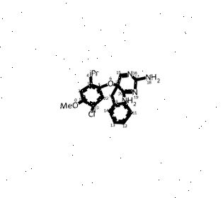 COc1cc(C(C)C)c(OC2(Cc3ccccc3)C=NC(N)N=C2N)cc1Cl